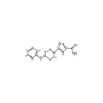 O=C(O)c1coc(N2CCC(Oc3ccccn3)CC2)n1